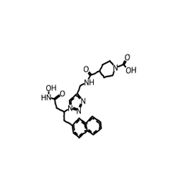 O=C(CC(Cc1ccc2ccccc2c1)n1cc(CNC(=O)C2CCN(C(=O)O)CC2)nn1)NO